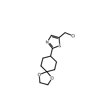 ClCc1cnc(C2CCC3(CC2)OCCO3)s1